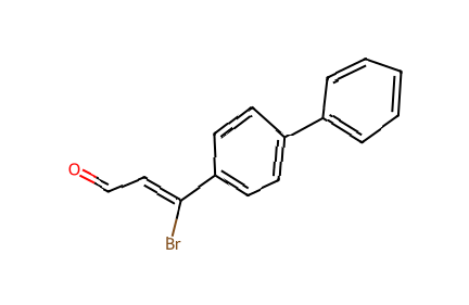 O=CC=C(Br)c1ccc(-c2ccccc2)cc1